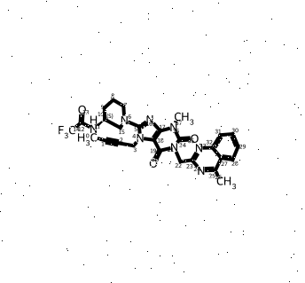 CC#CCn1c(N2CCC[C@H](NC(=O)C(F)(F)F)C2)nc2c1c(=O)n(Cc1nc(C)c3ccccc3n1)c(=O)n2C